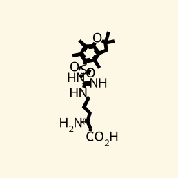 Cc1c(C)c(S(=O)(=O)NC(=N)NCCC[C@@H](N)CC(=O)O)c(C)c2c1OC(C)(C)C2